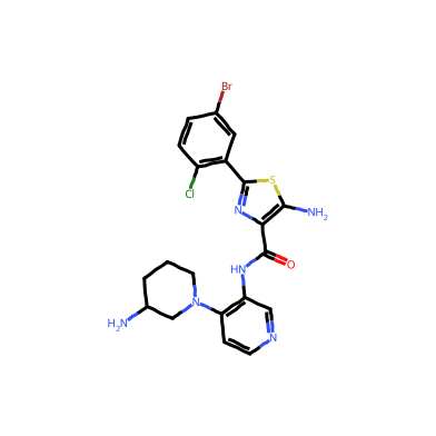 Nc1sc(-c2cc(Br)ccc2Cl)nc1C(=O)Nc1cnccc1N1CCCC(N)C1